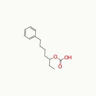 CCC(CCCCc1ccccc1)OC(=O)O